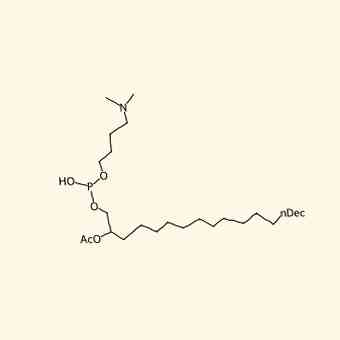 CCCCCCCCCCCCCCCCCCCCCC(COP(O)OCCCCN(C)C)OC(C)=O